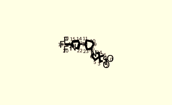 O=S1(=O)CC2(CCN([C@@H]3CCC[C@H](c4ccc(C(F)(F)F)nc4)C3)C2)C1